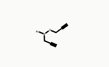 C#CCON(CC#C)C(C)=O